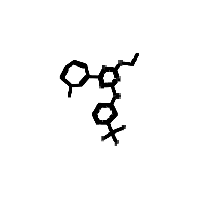 CCOc1nc(Nc2cccc(C(F)(F)F)c2)nc(C2=CC(C)C=CC=C2)n1